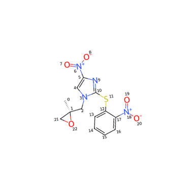 C[C@@]1(Cn2cc([N+](=O)[O-])nc2Sc2ccccc2[N+](=O)[O-])CO1